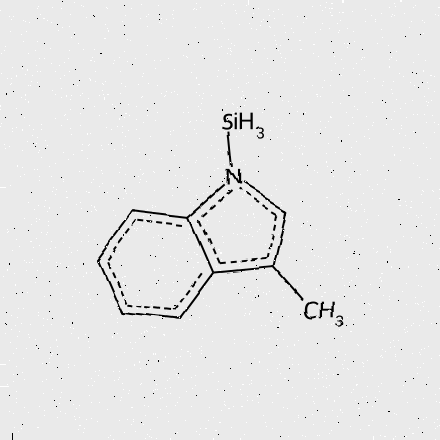 Cc1cn([SiH3])c2ccccc12